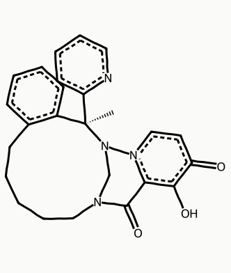 C[C@@]1(c2ccccn2)c2ccccc2CCCCCN2CN1n1ccc(=O)c(O)c1C2=O